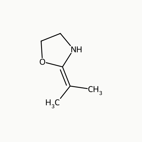 CC(C)=C1NCCO1